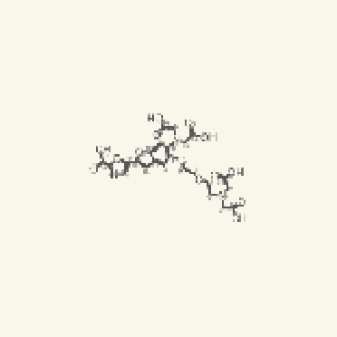 O=C(O)CN(CCOCCOc1cc2cc(-c3cnc(C(=O)O)o3)oc2cc1N(CC(=O)O)CC(=O)O)CC(=O)O